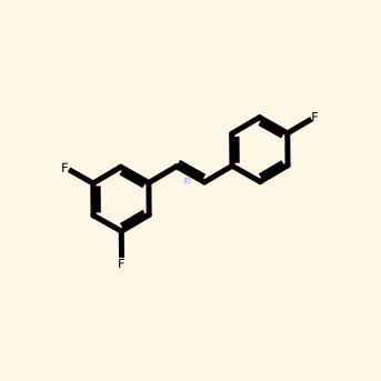 Fc1ccc(/C=C/c2cc(F)cc(F)c2)cc1